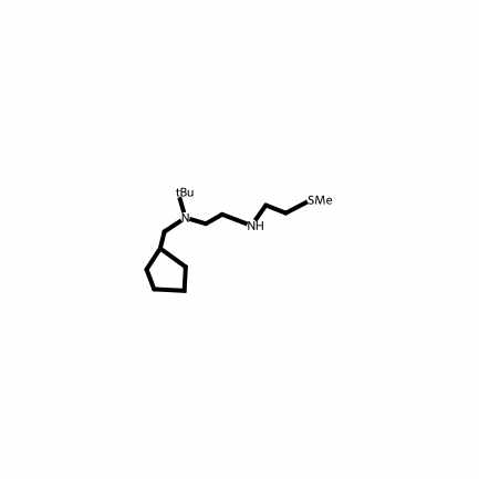 CSCCNCCN(CC1CCCC1)C(C)(C)C